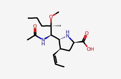 C/C=C\[C@@H]1C[C@H](C(=O)O)N[C@H]1[C@@H](NC(C)=O)[C@@](C)(CCC)OC